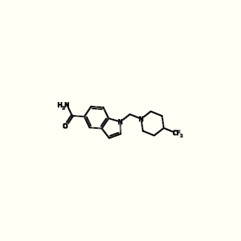 NC(=O)c1ccc2c(ccn2CN2CCC(C(F)(F)F)CC2)c1